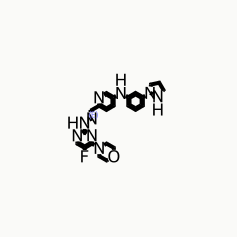 Fc1cnc(N/N=C/c2ccc(Nc3cccc(N4CCCN4)c3)cn2)nc1N1CCOCC1